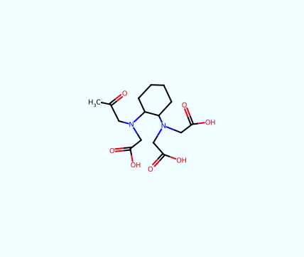 CC(=O)CN(CC(=O)O)C1CCCCC1N(CC(=O)O)CC(=O)O